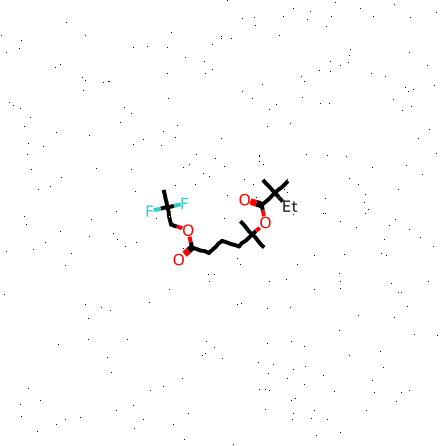 CCC(C)(C)C(=O)OC(C)(C)CCCC(=O)OCC(C)(F)F